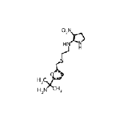 CC(C)(N)c1ccc(CSCCNC2=C([N+](=O)[O-])CCN2)o1